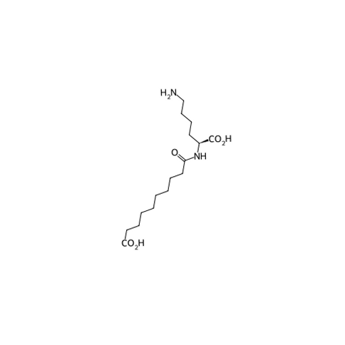 NCCCC[C@H](NC(=O)CCCCCCCCC(=O)O)C(=O)O